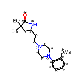 CCC1(CC)CC(CCN2CCN(c3ccccc3OC)CC2)NC1=O